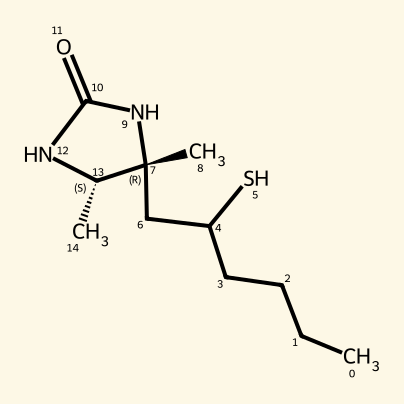 CCCCC(S)C[C@@]1(C)NC(=O)N[C@H]1C